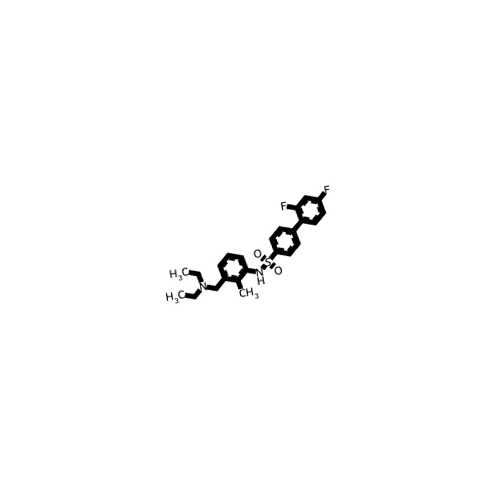 CCN(CC)Cc1cccc(NS(=O)(=O)c2ccc(-c3ccc(F)cc3F)cc2)c1C